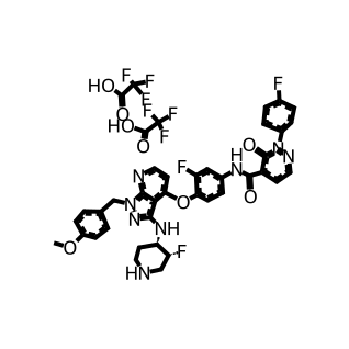 COc1ccc(Cn2nc(N[C@H]3CCNC[C@H]3F)c3c(Oc4ccc(NC(=O)c5ccnn(-c6ccc(F)cc6)c5=O)cc4F)ccnc32)cc1.O=C(O)C(F)(F)F.O=C(O)C(F)(F)F